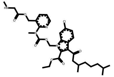 CCOC(=O)c1c(C(=O)CC(C)CCCC(C)C)c2ccc(Cl)cc2n1COC(=O)N(C)c1ncccc1COC(=O)CNC